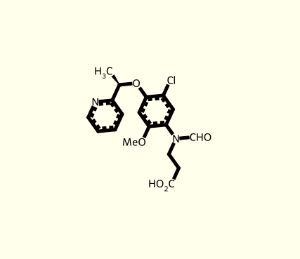 COc1cc(O[C@H](C)c2ccccn2)c(Cl)cc1N(C=O)CCC(=O)O